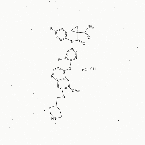 COc1cc2c(Oc3ccc(N(C(=O)C4(C(N)=O)CC4)c4ccc(F)cc4)cc3F)ccnc2cc1OCC1CCNCC1.Cl.Cl